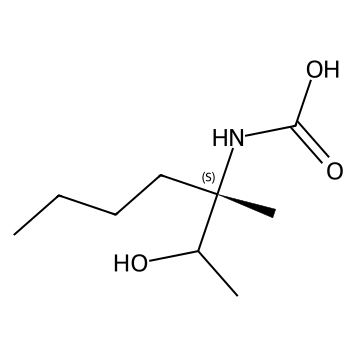 CCCC[C@](C)(NC(=O)O)C(C)O